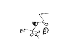 C=CC(=O)OC1(CC)O[PH]1=O